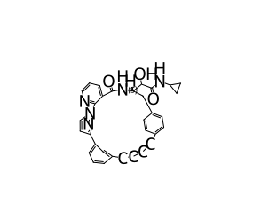 O=C1N[C@H](C(O)C(=O)NC2CC2)Cc2ccc(cc2)CCCCc2cccc(c2)-c2ccn(n2)-c2ncccc21